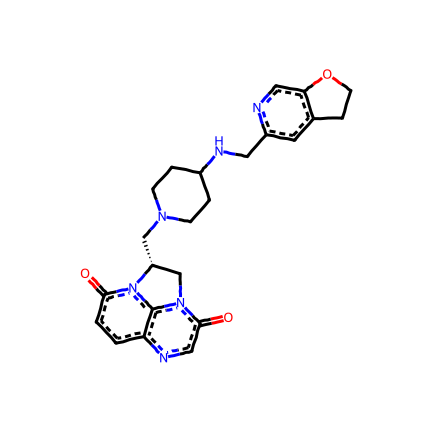 O=c1cnc2ccc(=O)n3c2n1C[C@H]3CN1CCC(NCc2cc3c(cn2)OCC3)CC1